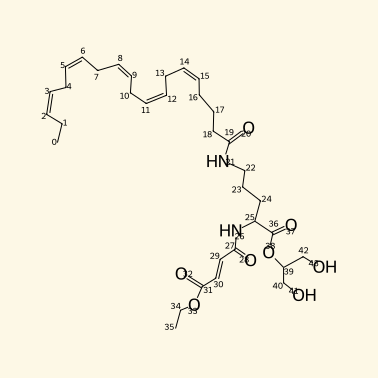 CC/C=C\C/C=C\C/C=C\C/C=C\C/C=C\CCCC(=O)NCCCC(NC(=O)/C=C/C(=O)OCC)C(=O)OC(CO)CO